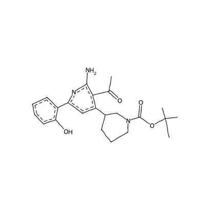 CC(=O)c1c(C2CCCN(C(=O)OC(C)(C)C)C2)cc(-c2ccccc2O)nc1N